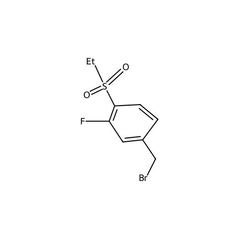 CCS(=O)(=O)c1ccc(CBr)cc1F